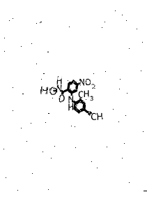 C#Cc1ccc(Nc2cc([N+](=O)[O-])ccc2C(=O)NO)c(C)c1